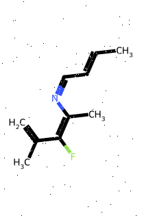 C=C(C)\C(F)=C(C)/N=C\C=C\C